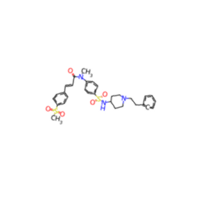 CN(C(=O)/C=C/c1ccc(S(C)(=O)=O)cc1)c1ccc(S(=O)(=O)NC2CCN(CCc3ccccc3)CC2)cc1